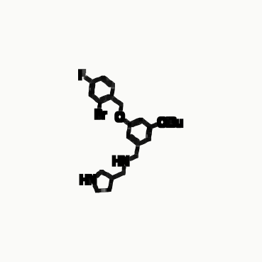 CC(C)COc1cc(CNCC2CCNC2)cc(OCc2ccc(F)cc2Br)c1